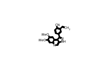 C=Cc1cc(-c2n[nH]c3cnc4cc(OC)c(OC)cc4c23)ccc1C#N